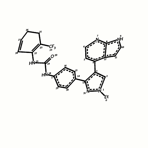 CCn1cc(-c2ccnc3[nH]ccc23)c(-c2ccc(NC(=O)NC3=C(C(F)(F)F)CCC=C3)cc2)n1